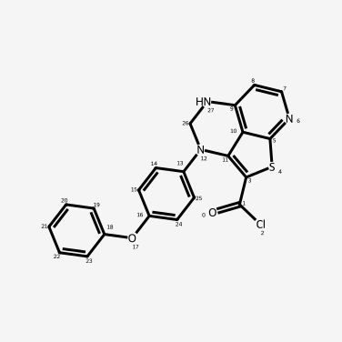 O=C(Cl)c1sc2nccc3c2c1N(c1ccc(Oc2ccccc2)cc1)CN3